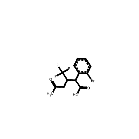 NC(=O)CC(C(C(=O)O)c1ccccc1Br)C(F)(F)F